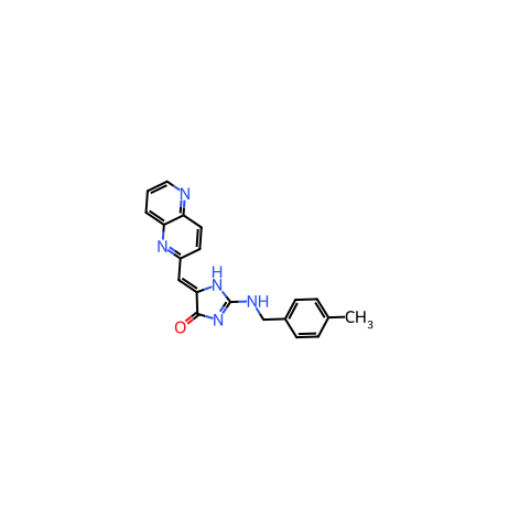 Cc1ccc(CNC2=NC(=O)/C(=C/c3ccc4ncccc4n3)N2)cc1